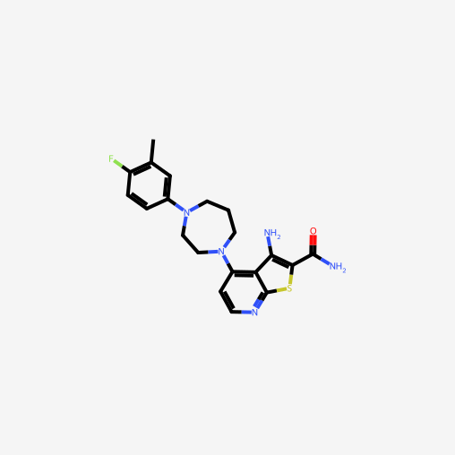 Cc1cc(N2CCCN(c3ccnc4sc(C(N)=O)c(N)c34)CC2)ccc1F